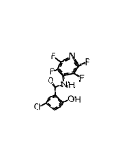 O=C(Nc1c(F)c(F)nc(F)c1F)c1cc(Cl)ccc1O